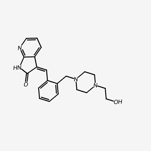 O=C1Nc2ncccc2C1=Cc1ccccc1CN1CCN(CCO)CC1